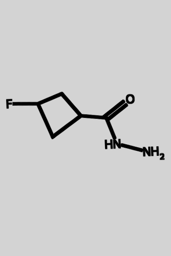 NNC(=O)C1CC(F)C1